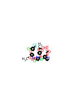 CCOc1cc(Oc2ccc(C(F)(F)F)cc2Cl)ccc1[N+](=O)[O-].C[C@@H](Oc1ccc(Oc2ncc(Cl)cc2F)cc1)C(=O)O.O=C(O)COc1ccc(Cl)c2cccnc12